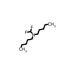 CCCCCN(CCCCC)C(F)F